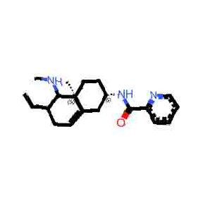 CCC1CC=C2C[C@@H](NC(=O)c3ccccn3)CC[C@]2(C)C1NC